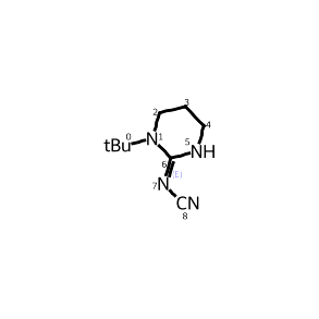 CC(C)(C)N1CCCN/C1=N\C#N